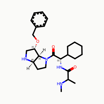 CNC(C)C(=O)N[C@H](C(=O)N1CC[C@H]2NC[C@H](OCc3ccccc3)[C@H]21)C1CCCCC1